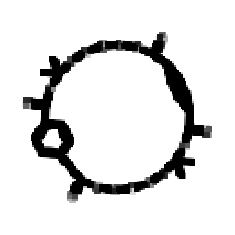 CC1(C)CCCCOC(=O)c2ccc(cc2)C(=O)OC(C)(C)CCCCOC(=O)c2ccc(cc2)C(=O)O1